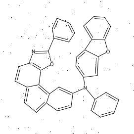 c1ccc(-c2nc3ccc4ccc5ccc(N(c6ccccc6)c6ccc7c(c6)oc6ccccc67)cc5c4c3o2)cc1